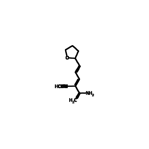 C#C/C(=C\C=C\C1CCCO1)C(=C)N